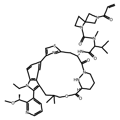 C=CC(=O)N1CC2(CCN2C(=O)N(C)C(C(=O)N[C@H]2Cc3nc(cs3)-c3ccc4c(c3)c(c(-c3cccnc3[C@H](C)OC)n4CC)CC(C)(C)COC(=O)[C@@H]3CCCN(N3)C2=O)C(C)C)C1